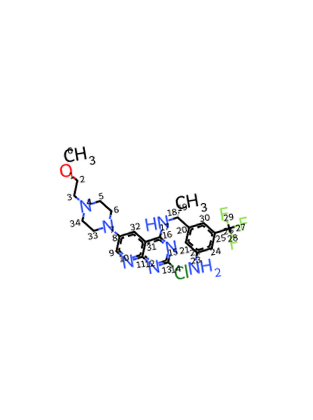 COCCN1CCN(c2cnc3nc(Cl)nc(N[C@H](C)c4cc(N)cc(C(F)(F)F)c4)c3c2)CC1